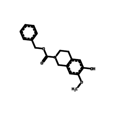 COc1cc2c(cc1O)CCN(C(=O)OCc1ccccc1)C2